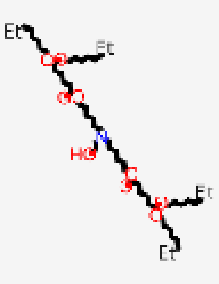 CC/C=C\CCCCOC(CCCCC(=O)OCCCCCCN(CCO)CCCCCCOC(=O)CCCCC(OCCCC/C=C\CC)OCCCC/C=C\CC)OCCCC/C=C\CC